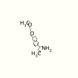 CCCC(CN)c1ccc2c(c1)CCC(COCCCOC)C2